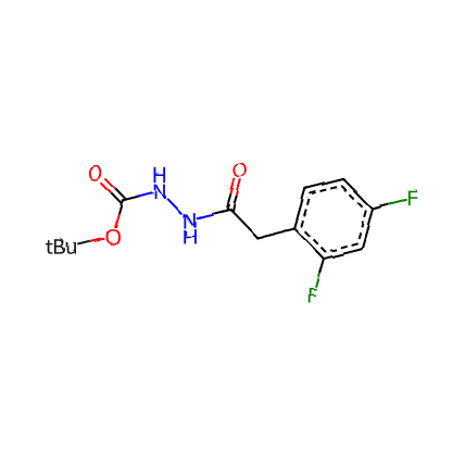 CC(C)(C)OC(=O)NNC(=O)Cc1ccc(F)cc1F